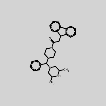 CC1CN(C(c2ccccc2)C2CCN(C(=O)CC3c4ccccc4-c4ccccc43)CC2)CC(C)N1